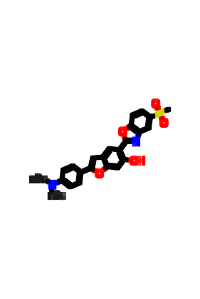 CCCCN(CCCC)c1ccc(-c2cc3cc(-c4nc5cc(S(C)(=O)=O)ccc5o4)c(O)cc3o2)cc1